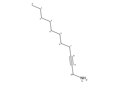 CCCCCCCCC#CCN